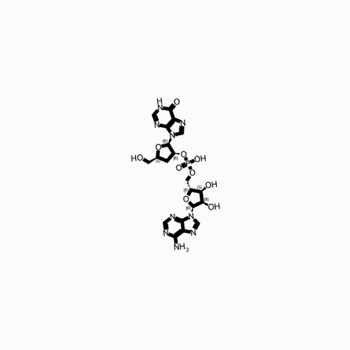 Nc1ncnc2c1ncn2[C@@H]1O[C@H](COP(=O)(O)O[C@@H]2C[C@@H](CO)O[C@H]2n2cnc3c(=O)[nH]cnc32)[C@@H](O)[C@H]1O